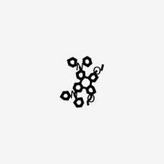 CCOc1ccc2c(c1)-c1cc(N(c3ccccc3)c3ccccc3)ccc1-c1ccc(N(c3ccccc3)c3ccccc3)cc1-c1cc(OCC)ccc1-2